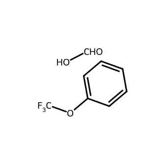 FC(F)(F)Oc1ccccc1.O=CO